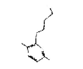 CCOC(=O)c1ccc(C)c(CCCCO)n1